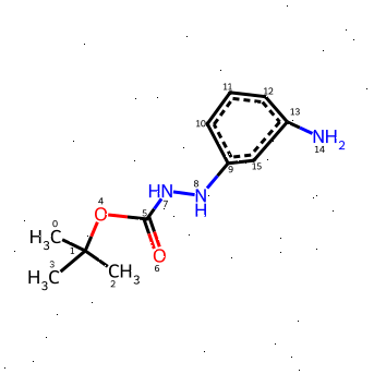 CC(C)(C)OC(=O)NNc1cccc(N)c1